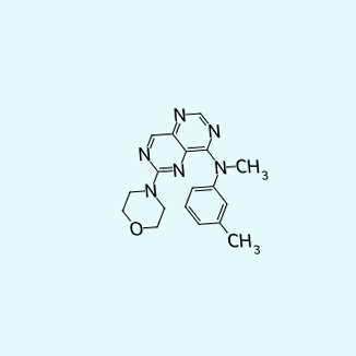 Cc1cccc(N(C)c2ncnc3cnc(N4CCOCC4)nc23)c1